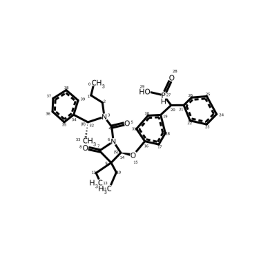 CCCN(C(=O)N1C(=O)C(CC)(CC)[C@@H]1Oc1ccc(C(c2ccccc2)[PH](=O)O)cc1)[C@H](C)c1ccccc1